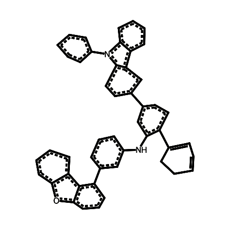 C1=CCCC(c2ccc(-c3ccc4c(c3)c3ccccc3n4-c3ccccc3)cc2Nc2cccc(-c3cccc4oc5ccccc5c34)c2)=C1